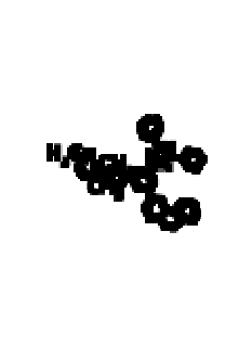 CC1=NC(C)C(C)(c2ccc(-c3cc(C4=CCC5C=Cc6ccccc6C5=C4)cc(-c4nc(-c5ccccc5)nc(-c5ccccc5)n4)c3)cc2)C=C1